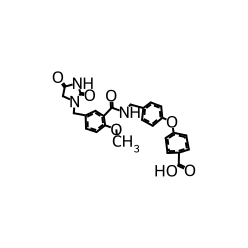 COc1ccc(CN2CC(=O)NC2=O)cc1C(=O)NCc1ccc(Oc2ccc(C(=O)O)cc2)cc1